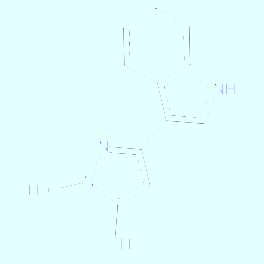 Cc1cc(-c2c[nH]c3ccccc23)nn1C